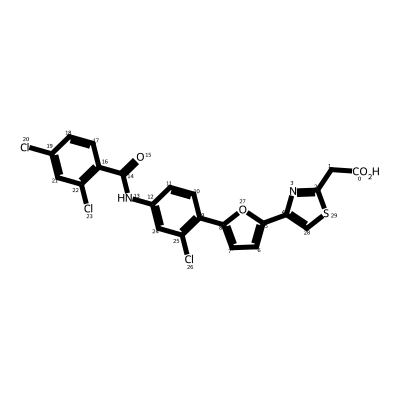 O=C(O)Cc1nc(-c2ccc(-c3ccc(NC(=O)c4ccc(Cl)cc4Cl)cc3Cl)o2)cs1